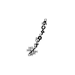 O=C(Cc1ccc(OCC2CC(C3CCN(c4ncc(Cl)cn4)CC3)C2)cc1F)N1CC(CNC[C@H](O)[C@@H](O)[C@H](O)[C@H](O)CO)C1